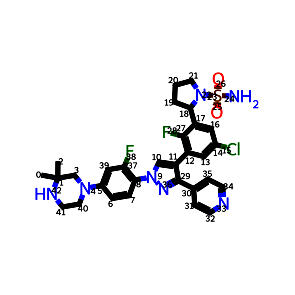 CC1(C)CN(c2ccc(-n3cc(-c4cc(Cl)cc(C5CCCN5S(N)(=O)=O)c4F)c(-c4ccncc4)n3)c(F)c2)CCN1